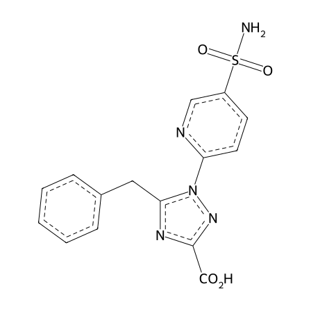 NS(=O)(=O)c1ccc(-n2nc(C(=O)O)nc2Cc2ccccc2)nc1